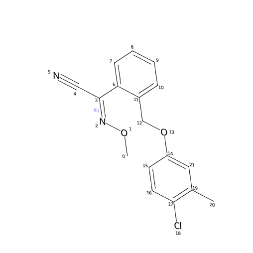 CO/N=C(/C#N)c1ccccc1COc1ccc(Cl)c(C)c1